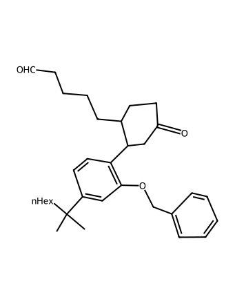 CCCCCCC(C)(C)c1ccc(C2CC(=O)CCC2CCCCC=O)c(OCc2ccccc2)c1